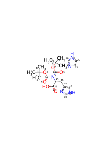 CC(C)(C)OC(=O)N(C(=O)OC(C)(C)C)[C@H](Cc1c[nH]cn1)C(=O)O.c1c[nH]cn1